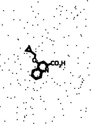 O=C(O)c1cc(OCC2CC2)c2ccccc2n1